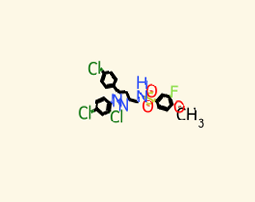 COc1ccc(S(=O)(=O)NCC2=NN(c3ccc(Cl)cc3Cl)C(c3ccc(Cl)cc3)C2)cc1F